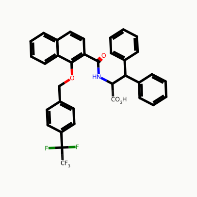 O=C(NC(C(=O)O)C(c1ccccc1)c1ccccc1)c1ccc2ccccc2c1OCc1ccc(C(F)(F)C(F)(F)F)cc1